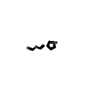 C=COC=O.c1cc[nH]c1